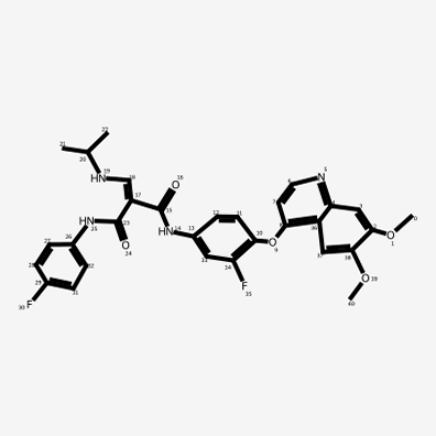 COc1cc2nccc(Oc3ccc(NC(=O)/C(=C/NC(C)C)C(=O)Nc4ccc(F)cc4)cc3F)c2cc1OC